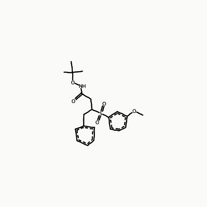 COc1cccc(S(=O)(=O)C(CC(=O)NOC(C)(C)C)Cc2ccccc2)c1